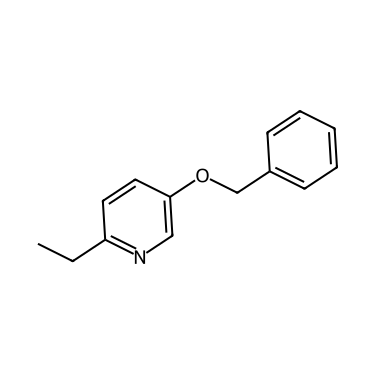 CCc1ccc(OCc2ccccc2)cn1